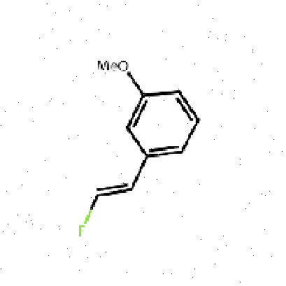 COc1cccc(C=CF)c1